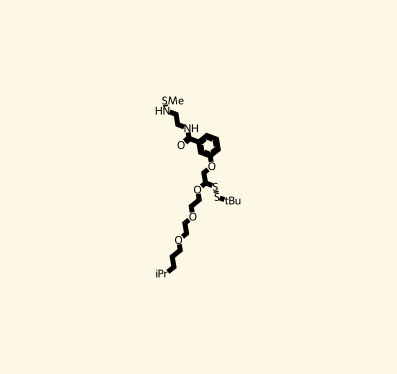 CSNCCNC(=O)c1cccc(OCC(OCCOCCOCCCC(C)C)SSC(C)(C)C)c1